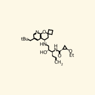 C=CC[C@H](NC(=O)[C@H]1C[C@H]1OCC)[C@H](O)CN[C@H]1CC2(CCC2)Oc2ncc(CC(C)(C)C)cc21